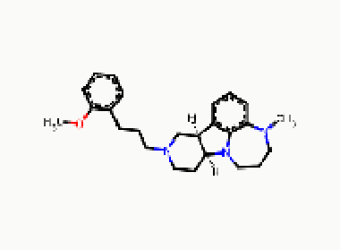 COc1ccccc1CCCN1CC[C@H]2[C@@H](C1)c1cccc3c1N2CCCN3C